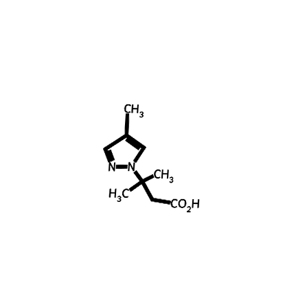 Cc1cnn(C(C)(C)CC(=O)O)c1